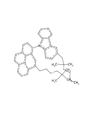 CCCCC(C)(C)Cc1ccc2c(c1)c1ccccc1n2-c1ccc2ccc3cccc4c(CCCCC(C)(C)C)cc1c2c34